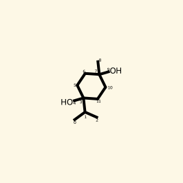 CC(C)C1(O)CCC(C)(O)CC1